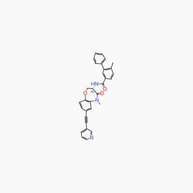 Cc1ccc(C(=O)N[C@H]2COc3ccc(C#Cc4cccnc4)cc3N(C)C2=O)cc1-c1ccccc1